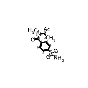 CC(=O)[C@H](C)N(C)C(=O)c1ccc(S(N)(=O)=O)cc1